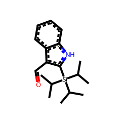 CC(C)[Si](c1[nH]c2ccccc2c1C=O)(C(C)C)C(C)C